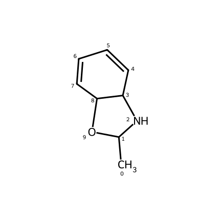 CC1NC2C=CC=CC2O1